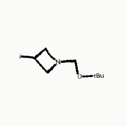 CC(C)(C)OCN1CC(I)C1